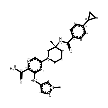 Cn1cc(Nc2nc(N3CCC[C@@](C)(NC(=O)c4ccc(C5CC5)cc4)C3)cnc2C(N)=O)cn1